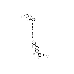 CCOc1cc2oc(-c3ccc(OCCOCCOCCOCCOc4cccc5c4C(=O)N(C4CCC(=O)NC4=O)C5=O)cc3Cl)cc(=O)c2cc1-c1cc(N)cc(C(=O)OC)c1